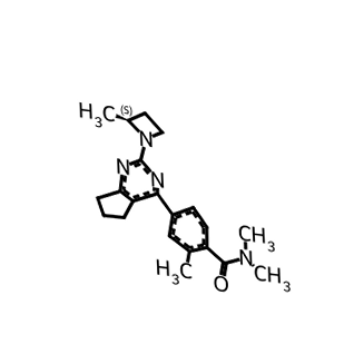 Cc1cc(-c2nc(N3CC[C@@H]3C)nc3c2CCC3)ccc1C(=O)N(C)C